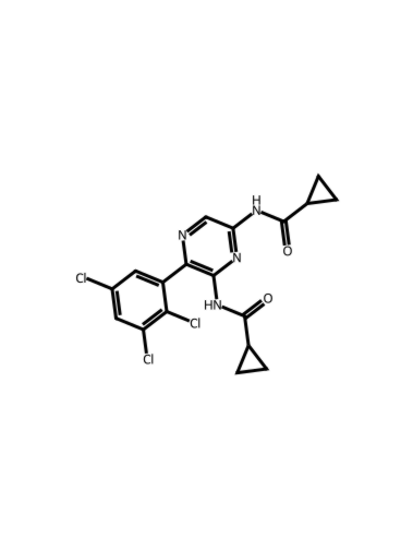 O=C(Nc1cnc(-c2cc(Cl)cc(Cl)c2Cl)c(NC(=O)C2CC2)n1)C1CC1